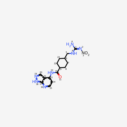 N/C(=N/[N+](=O)[O-])NCC1CCC(C(=O)Nc2ccnc3[nH]ncc23)CC1